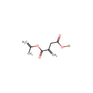 C=C(C)OC(=O)C(=C)CC(=O)OBr